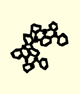 c1ccc(N2c3ccccc3B3c4c2cccc4-n2c4c3cccc4c3ccc4c(c5ccc6c7c5n4-c4ccccc4B7c4ccccc4N6c4ccccc4)c32)cc1